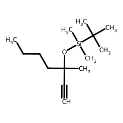 C#CC(C)(CCCC)O[Si](C)(C)C(C)(C)C